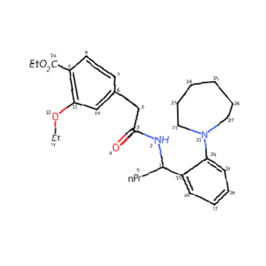 CCCC(NC(=O)Cc1ccc(C(=O)OCC)c(OCC)c1)c1ccccc1N1CCCCCC1